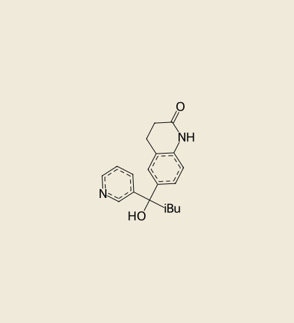 CCC(C)C(O)(c1cccnc1)c1ccc2c(c1)CCC(=O)N2